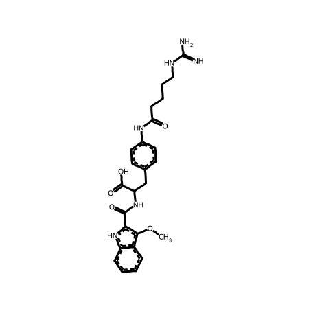 COc1c(C(=O)NC(Cc2ccc(NC(=O)CCCCNC(=N)N)cc2)C(=O)O)[nH]c2ccccc12